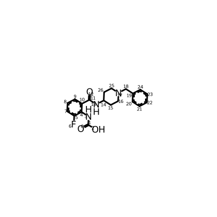 O=C(O)Nc1c(F)cccc1C(=O)NC1CCN(Cc2ccccc2)CC1